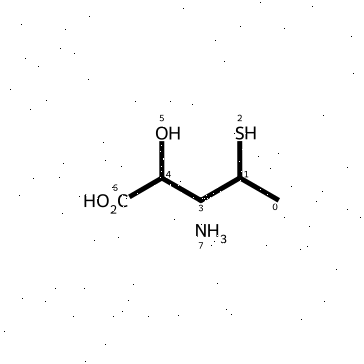 CC(S)CC(O)C(=O)O.N